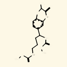 CC1Oc2ccc(C(CCCNC(=O)OC(C)(C)C)NC(=O)OC(C)(C)C)cc2NC1=O